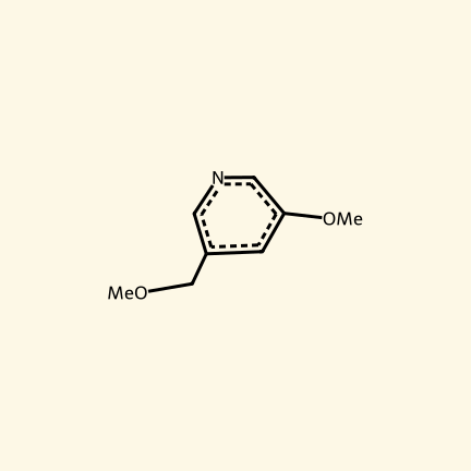 COCc1cncc(OC)c1